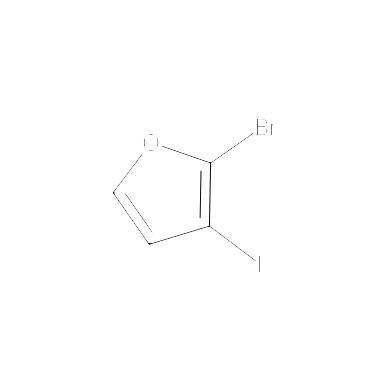 Brc1occc1I